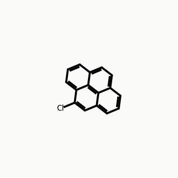 Clc1cc2cccc3ccc4cccc1c4c32